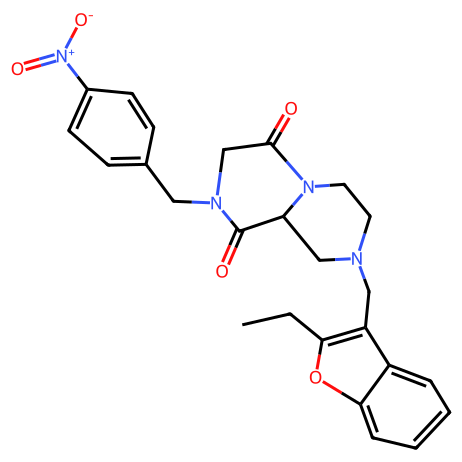 CCc1oc2ccccc2c1CN1CCN2C(=O)CN(Cc3ccc([N+](=O)[O-])cc3)C(=O)C2C1